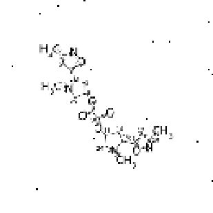 Cc1cc(C2CC(OC(=O)C(=O)OC3CC(c4cc(C)no4)N(C)C3)CN2C)on1